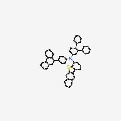 c1ccc(-c2ccc(N(c3ccc(-c4cc5ccccc5c5ccccc45)cc3)c3cccc4c3sc3cc5ccccc5cc34)cc2-c2ccccc2)cc1